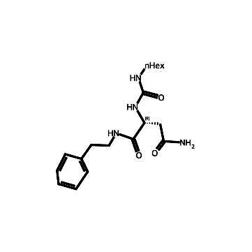 CCCCCCNC(=O)N[C@H](CC(N)=O)C(=O)NCCc1ccccc1